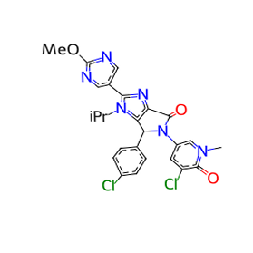 COc1ncc(-c2nc3c(n2C(C)C)C(c2ccc(Cl)cc2)N(c2cc(Cl)c(=O)n(C)c2)C3=O)cn1